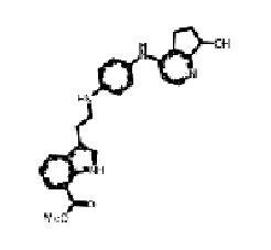 COC(=O)c1cccc2c(CCNc3ccc(Nc4ccnc5c4CCC5O)cc3)c[nH]c12